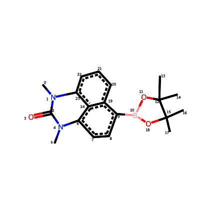 CN1C(=O)N(C)c2ccc(B3OC(C)(C)C(C)(C)O3)c3cccc1c23